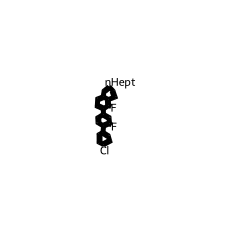 CCCCCCCc1ccc2c(F)c(-c3ccc(-c4ccc(Cl)cc4)c(F)c3)ccc2c1